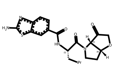 CC(C)C[C@H](NC(=O)c1ccc2nc(N)sc2c1)C(=O)N1CC[C@H]2OCC(=O)[C@H]21